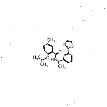 CC(C)Oc1ccc(N)cc1C(=O)NC(C)c1cccc(-c2nccs2)c1